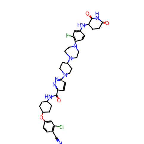 N#Cc1ccc(OC2CCC(NC(=O)c3ccc(N4CCC(N5CCN(c6ccc(NC7CCC(=O)NC7=O)cc6F)CC5)CC4)nn3)CC2)cc1Cl